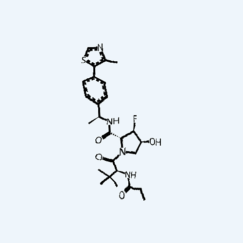 CCC(=O)N[C@H](C(=O)N1C[C@H](O)[C@H](F)[C@H]1C(=O)N[C@@H](C)c1ccc(-c2scnc2C)cc1)C(C)(C)C